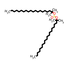 CCCCCCCCCCCCCCCCCCC(C)(C)OS(=O)OC(C)(C)CCCCCCCCCCCCCCCCCC